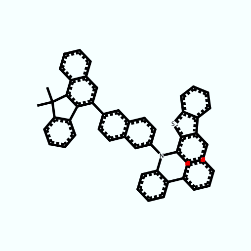 CC1(C)c2ccccc2-c2c(-c3ccc4cc(N(c5ccccc5-c5ccccc5)c5cccc6c5sc5ccccc56)ccc4c3)cc3ccccc3c21